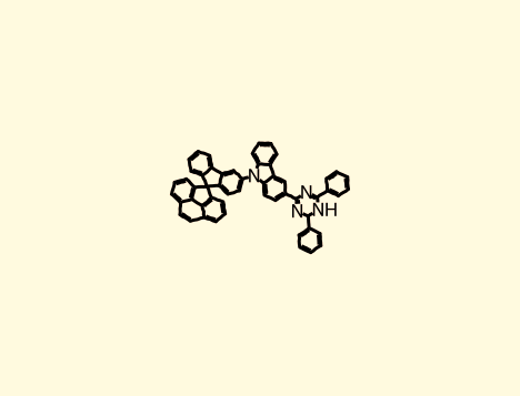 c1ccc(C2=NC(c3ccc4c(c3)c3ccccc3n4-c3ccc4c(c3)-c3ccccc3C43c4cccc5ccc6cccc3c6c45)=NC(c3ccccc3)N2)cc1